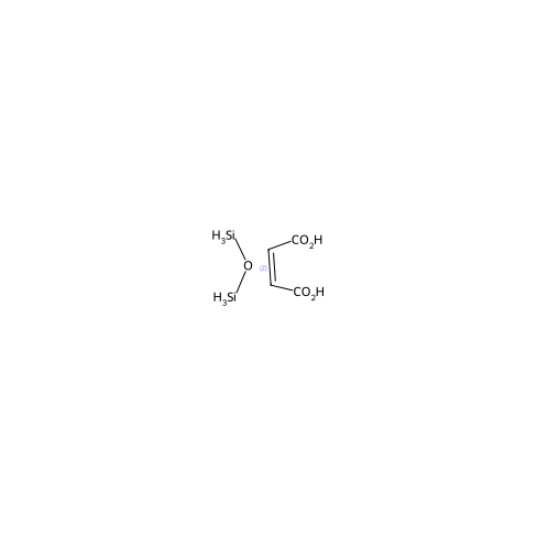 O=C(O)/C=C\C(=O)O.[SiH3]O[SiH3]